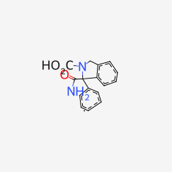 NC(=O)C1(c2cc[c]cc2)c2ccccc2CN1C(=O)O